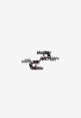 CO[C@H]1C[C@@H](C)C/C(C)=C/[C@@H](CCOC(=O)NCc2ccc(CNC(=O)OCC[C@@H]3/C=C(\C)C[C@H](C)C[C@H](OC)C4O[C@@](O)(C(=O)C(=O)N5CCCC[C@H]5C(=O)OC(/C(C)=C/[C@@H]5CC[C@@H](O)[C@H](OC)C5)[C@H](C)[C@@H](O)CC3=O)[C@H](C)C[C@H]4OC)cc2)CC[C@H](O)[C@@H](C)C(/C(C)=C/[C@@H]2CC[C@@H](O)[C@H](OC)C2)OC(=O)[C@@H]2CCCCN2C(=O)C(=O)[C@]2(O)OC1[C@H](OC)C[C@H]2C